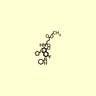 CCOC(=O)CCC(=O)Nc1cn(C2CCCC2)c2cc(NC3CCCCC3)c(F)cc2c1=O